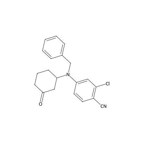 N#Cc1ccc(N(Cc2ccccc2)C2CCCC(=O)C2)cc1Cl